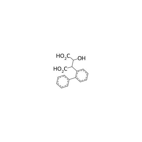 O=C(O)C(O)C(C(=O)O)c1ccccc1-c1ccccc1